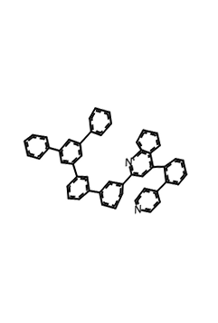 c1ccc(-c2cc(-c3ccccc3)cc(-c3cccc(-c4cccc(-c5cc(-c6ccccc6-c6ccncc6)c6ccccc6n5)c4)c3)c2)cc1